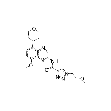 COCCn1cc(C(=O)Nc2cnc3c(C4CCOCC4)ccc(OC)c3n2)nn1